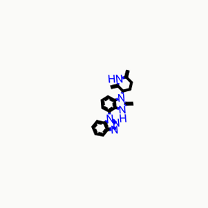 C=C1CCC(N2C(=C)Nc3c2cccc3-n2nnc3ccccc32)C(=C)N1